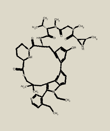 CCc1ccncc1-c1c2c3cc(ccc3n1CC)-c1cc(O)cc(c1)C[C@H](NC(=O)[C@H](C(C)C)N(C)C(=O)CN(C)C(=O)[C@@H]1N[C@@H]1C)C(=O)N1CCC[C@H](N1)C(=O)OCC(C)(C)C2